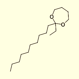 CCCCCCCCCCC1(CC)OCCCCO1